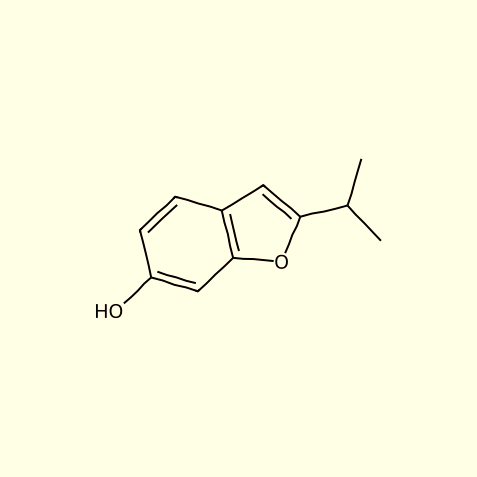 CC(C)c1cc2ccc(O)cc2o1